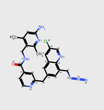 Cc1cc(N)nc(C)c1CNC(=O)c1ccnc(Cc2cc(CN=[N+]=[N-])c3ncc(Cl)cc3c2)c1